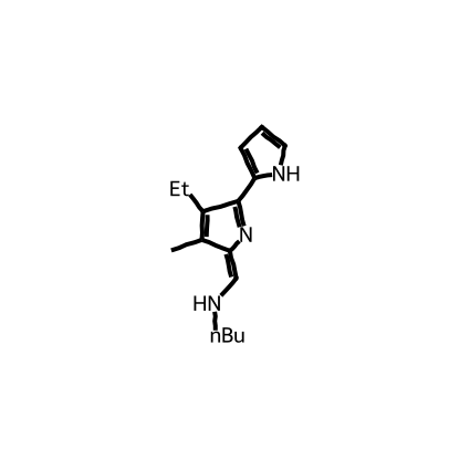 CCCCN/C=C1/N=C(c2ccc[nH]2)C(CC)=C1C